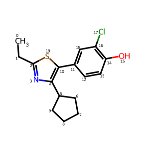 CCc1nc(C2CCCC2)c(-c2ccc(O)c(Cl)c2)s1